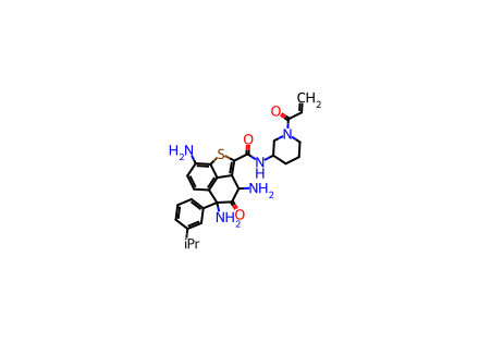 C=CC(=O)N1CCCC(NC(=O)c2sc3c(N)ccc4c3c2C(N)C(=O)C4(N)c2cccc(C(C)C)c2)C1